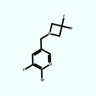 Fc1cc(CN2CC(F)(F)C2)cnc1Br